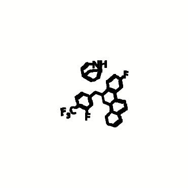 C1=CC2=CC=C(CC2)N1.Fc1ccc2c(c1)-c1ccc3c(c1CC2Cc1ccc(C(F)(F)F)c(F)c1)CCC=C3